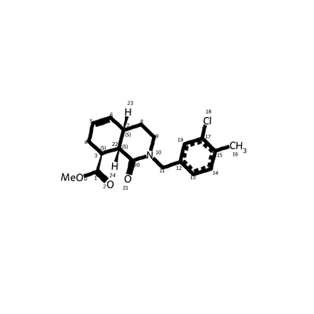 COC(=O)[C@H]1CC=C[C@@H]2CCN(Cc3ccc(C)c(Cl)c3)C(=O)[C@@H]21